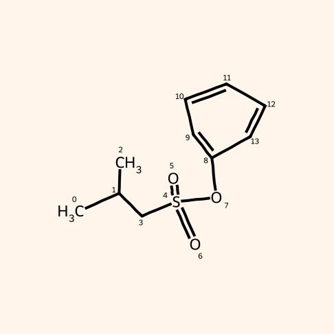 CC(C)CS(=O)(=O)Oc1ccccc1